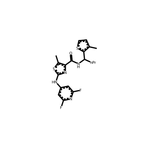 CCCC(NC(=O)c1nc(Nc2cc(F)nc(F)c2)sc1C)c1sccc1C